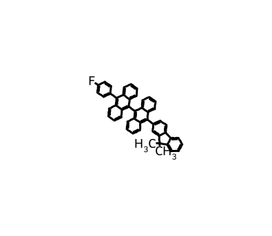 CC1(C)c2ccccc2-c2ccc(-c3c4ccccc4c(-c4c5ccccc5c(-c5ccc(F)cc5)c5ccccc45)c4ccccc34)cc21